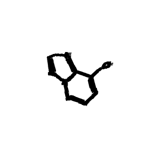 [O]c1cccn2ccnc12